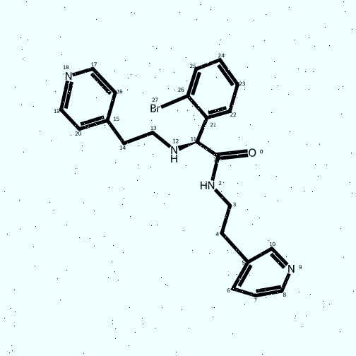 O=C(NCCc1cccnc1)[C@@H](NCCc1ccncc1)c1ccccc1Br